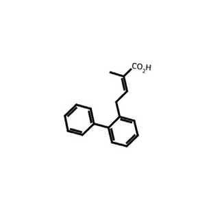 C/C(=C\Cc1ccccc1-c1ccccc1)C(=O)O